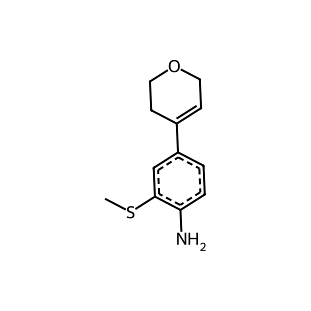 CSc1cc(C2=CCOCC2)ccc1N